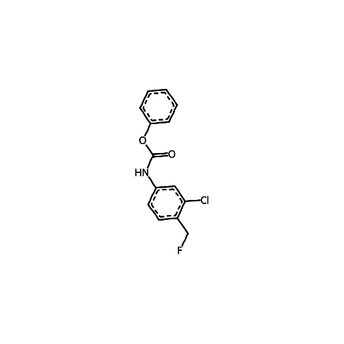 O=C(Nc1ccc(CF)c(Cl)c1)Oc1ccccc1